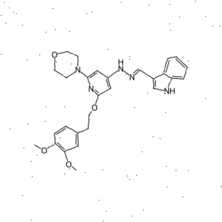 COc1ccc(CCOc2cc(NN=Cc3c[nH]c4ccccc34)cc(N3CCOCC3)n2)cc1OC